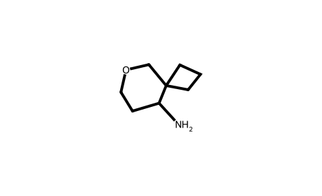 NC1CCOCC12CCC2